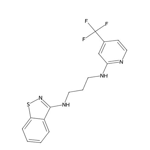 FC(F)(F)c1ccnc(NCCCNc2nsc3ccccc23)c1